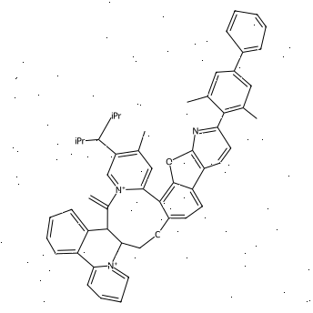 C=C1C2c3ccccc3-c3cccc[n+]3C2CCc2ccc3c(oc4nc(-c5c(C)cc(-c6ccccc6)cc5C)ccc43)c2-c2cc(C)c(C(C(C)C)C(C)C)c[n+]21